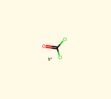 O=C(Cl)Cl.[Ir+]